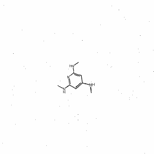 CNc1cc(NC)nc(NC)c1